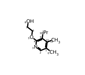 Cc1cnc(OCCO)c(C(C)C)c1C